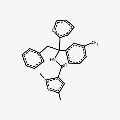 Cc1cc(C(=O)NC(Cc2ccccc2)(c2cccc(C(F)(F)F)c2)c2ccccn2)n(C)n1